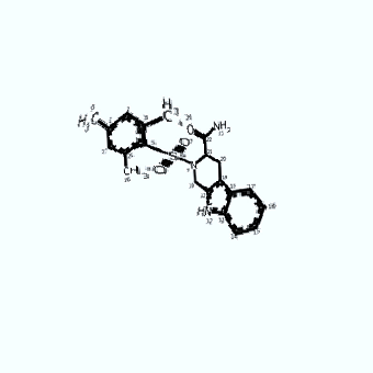 Cc1cc(C)c(S(=O)(=O)N2Cc3[nH]c4ccccc4c3CC2C(N)=O)c(C)c1